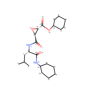 CC(C)C[C@H](NC(=O)[C@H]1O[C@@H]1C(=O)OC1CCCCC1)C(=O)NC1CCCCC1